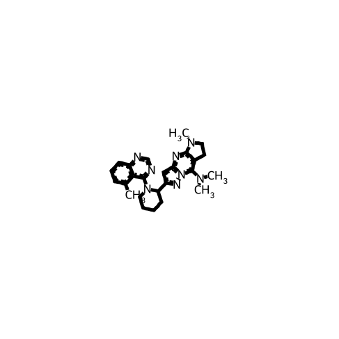 Cc1cccc2ncnc(N3CCCCC3c3cc4nc5c(c(N(C)C)n4n3)CCN5C)c12